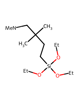 CCO[Si](CCC(C)(C)CNC)(OCC)OCC